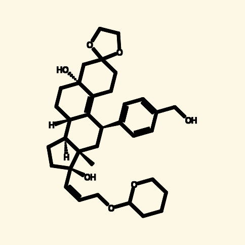 C[C@]12C[C@H](c3ccc(CO)cc3)C3=C4CCC5(C[C@]4(O)CC[C@H]3[C@@H]1CC[C@@]2(O)/C=C\COC1CCCCO1)OCCO5